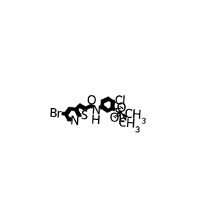 CN(C)S(=O)(=O)c1cc(NC(=O)c2cc3cc(Br)cnc3s2)ccc1Cl